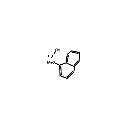 CC#N.COc1cccc2ccccc12